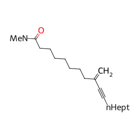 C=C(C#CCCCCCCC)CCCCCCCC(=O)NC